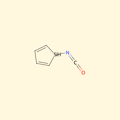 O=C=N[SiH]1C=CC=C1